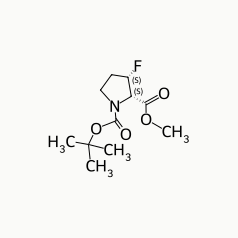 COC(=O)[C@H]1[C@@H](F)CCN1C(=O)OC(C)(C)C